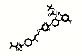 CC(C)c1noc(N2CCC([C@H](C)CCOc3cnc(N4CC[C@H](c5cc(F)ccc5F)[C@@H](NC(=O)OC(C)(C)C)C4)nc3)CC2)n1